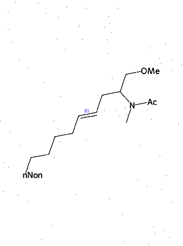 CCCCCCCCCCCCC/C=C/CC(COC)N(C)C(C)=O